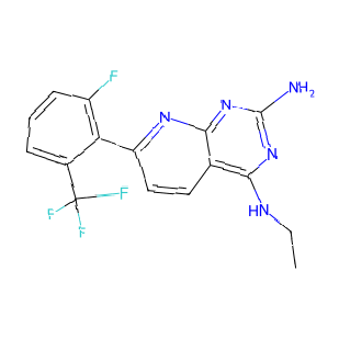 CCNc1nc(N)nc2nc(-c3c(F)cccc3C(F)(F)F)ccc12